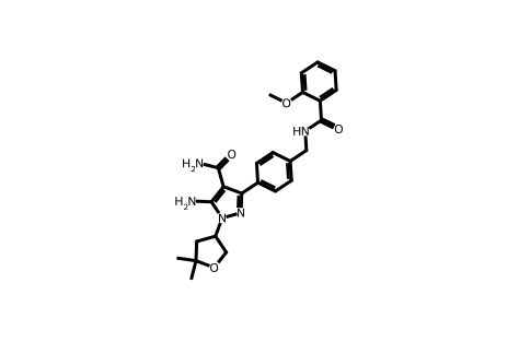 COc1ccccc1C(=O)NCc1ccc(-c2nn(C3COC(C)(C)C3)c(N)c2C(N)=O)cc1